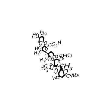 CO[C@@H]1C[C@@H](O)[C@H](O[C@@H]2OC(OC=O)[C@@H](O[C@@H]3CC[C@H](O[C@@H]4O[C@@H](C(=O)O)[C@@H](O[C@@H]5C[C@@H](O)[C@H](O)CO5)[C@H](O)C4C)C(C)O3)[C@H](O)C2OS(=O)(=O)O)C(C)O1